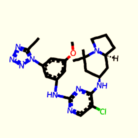 COc1cc(Nc2ncc(Cl)c(N[C@@H]3C[C@@H]4CCCN4C(C)(C)C3)n2)cc(-n2nnnc2C)c1